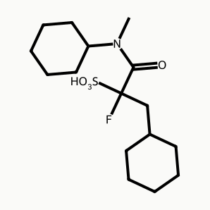 CN(C(=O)C(F)(CC1CCCCC1)S(=O)(=O)O)C1CCCCC1